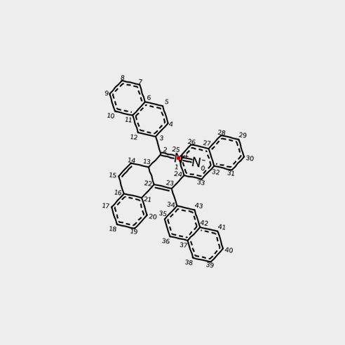 [N-]=[N+]=C(c1ccc2ccccc2c1)C1C=Cc2ccccc2C1=C(c1ccc2ccccc2c1)c1ccc2ccccc2c1